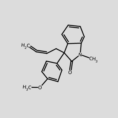 C=C=CCC1(c2ccc(OC)cc2)C(=O)N(C)c2ccccc21